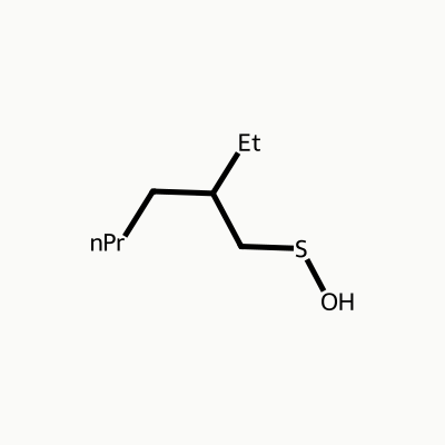 CCCCC(CC)CSO